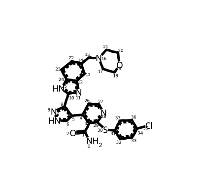 NC(=O)c1c(-c2c[nH]nc2-c2nc3cc(CN4CCOCC4)ccc3[nH]2)ccnc1Sc1ccc(Cl)cc1